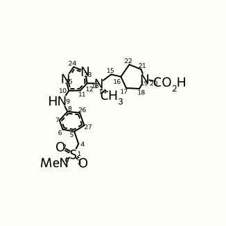 CNS(=O)(=O)Cc1ccc(Nc2cc(N(C)CC3CCN(C(=O)O)CC3)ncn2)cc1